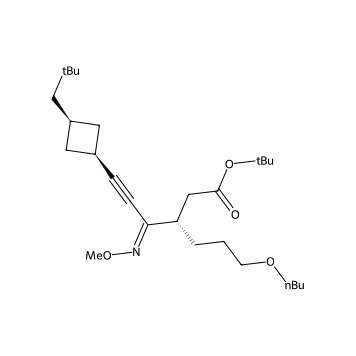 CCCCOCCC[C@@H](CC(=O)OC(C)(C)C)/C(C#C[C@H]1C[C@@H](CC(C)(C)C)C1)=N/OC